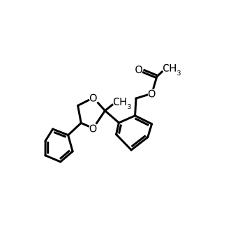 CC(=O)OCc1ccccc1C1(C)OCC(c2ccccc2)O1